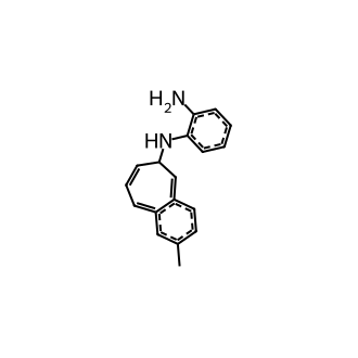 Cc1ccc2c(c1)=CC=CC(Nc1ccccc1N)C=2